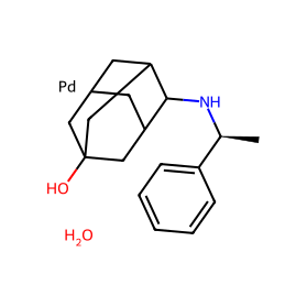 C[C@H](NC1C2CC3CC1CC(O)(C3)C2)c1ccccc1.O.[Pd]